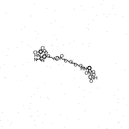 COc1cc(Nc2c(C#N)cnc3cc(OCCCN4CCN(C(=O)CCOCCOCCOCCOCCNc5cccc6c5C(=O)N(C5CCC(=O)NC5=O)C6=O)CC4)c(OC)cc23)c(Cl)cc1Cl